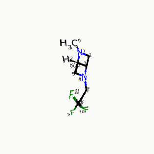 CN1CC2[C@@H]1CN2CC(F)(F)F